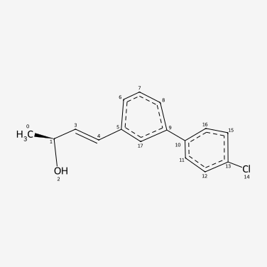 C[C@H](O)/C=C/c1cccc(-c2ccc(Cl)cc2)c1